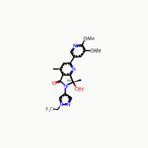 COc1cc(-c2cc(C)c3c(n2)[C@](C)(O)N(c2cnn(CC(F)(F)F)c2)C3=O)cnc1OC